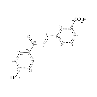 O=C(O)c1cccc(/C=C/C(=O)c2ccc(S)cc2)c1